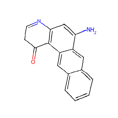 Nc1cc2c(c3cc4ccccc4cc13)C(=O)CC=N2